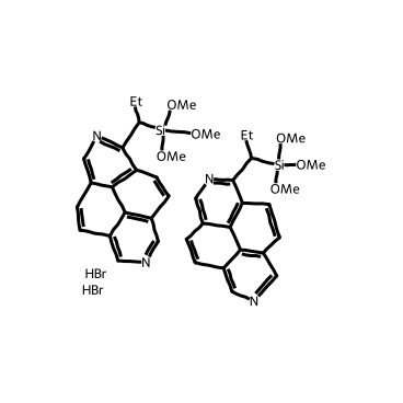 Br.Br.CCC(c1ncc2ccc3cncc4ccc1c2c34)[Si](OC)(OC)OC.CCC(c1ncc2ccc3cncc4ccc1c2c34)[Si](OC)(OC)OC